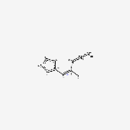 C/C(=C/c1ccsc1)N=[N+]=[N-]